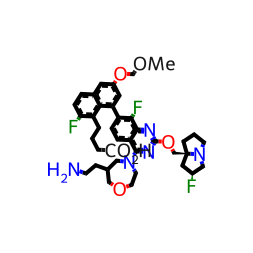 COCOc1cc(-c2ccc3c(N4CCOCC(CCN)C4)nc(OC[C@@]45CCCN4C[C@H](F)C5)nc3c2F)c2c(CCCC(=O)O)c(F)ccc2c1